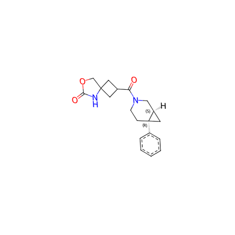 O=C1NC2(CO1)CC(C(=O)N1CC[C@]3(c4ccccc4)C[C@@H]3C1)C2